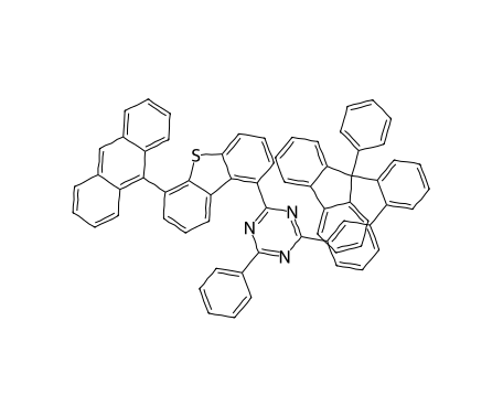 c1ccc(-c2nc(-c3cccc(-c4ccccc4C4(c5ccccc5)c5ccccc5-c5ccccc54)c3)nc(-c3cccc4sc5c(-c6c7ccccc7cc7ccccc67)cccc5c34)n2)cc1